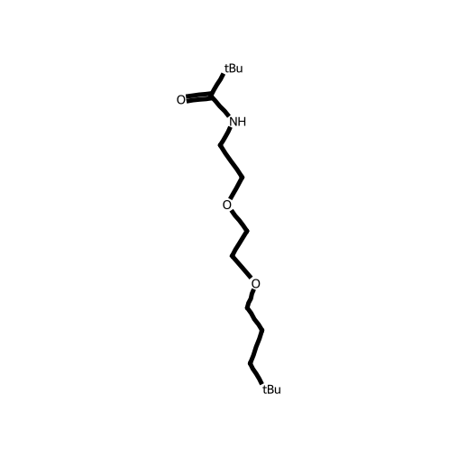 CC(C)(C)CCCOCCOCCNC(=O)C(C)(C)C